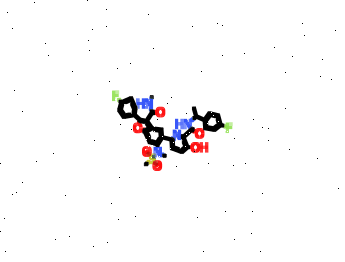 CNC(=O)c1c(-c2ccc(F)cc2)oc2cc(N(C)S(C)(=O)=O)c(-c3ccc(O)c(C(=O)NC(C)c4ccc(F)cc4)n3)cc12